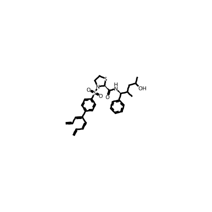 C=C/C=C\C(=C/C=C)c1ccc(S(=O)(=O)N2CCS[C@H]2C(=O)N[C@H](c2ccccc2)C(C)CC(C)O)cc1